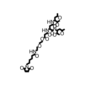 CC(=O)CC(NC(=O)CC(NC(=O)CC(=O)OCCOCCNC(=O)CCCCCN1C(=O)C=CC1=O)C(=O)NC(CC(C)=O)C(C)=O)C(C)=O